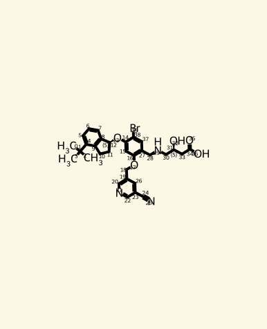 CC(C)(C)c1cccc2c1CC[C@@H]2Oc1cc(OCc2cncc(C#N)c2)c(CNC[C@@H](O)CC(=O)O)cc1Br